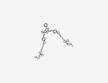 C=CC(=O)OCCCCCCOc1ccc(/C=C/C(=O)OCC(OC(=O)/C=C/c2ccc(OCCCCCCOC(=O)C=C)cc2)c2ccccc2)cc1